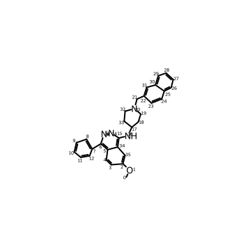 COc1ccc2c(-c3ccccc3)nnc(NC3CCN(Cc4ccc5ccccc5c4)CC3)c2c1